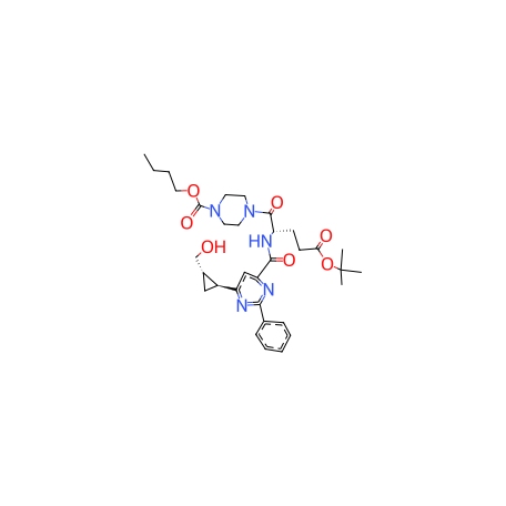 CCCCOC(=O)N1CCN(C(=O)[C@H](CCC(=O)OC(C)(C)C)NC(=O)c2cc([C@H]3C[C@@H]3CO)nc(-c3ccccc3)n2)CC1